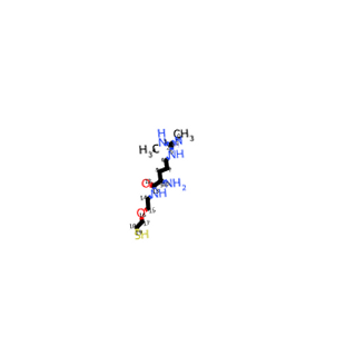 C/N=C(\NC)NCCCC(N)C(=O)NCCOCCS